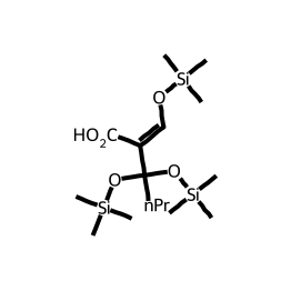 CCCC(O[Si](C)(C)C)(O[Si](C)(C)C)C(=CO[Si](C)(C)C)C(=O)O